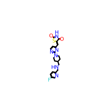 O=C1NC(=O)/C(=C/c2ccnc(N3CCC(CNCc4ccc(F)cn4)CC3)n2)S1